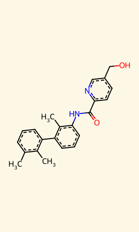 Cc1cccc(-c2cccc(NC(=O)c3ccc(CO)cn3)c2C)c1C